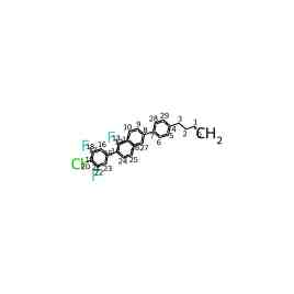 C=CCCc1ccc(-c2ccc3c(F)c(-c4cc(F)c(Cl)c(F)c4)ccc3c2)cc1